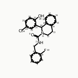 O=C(NCc1ccccc1F)N1CCc2ccccc2C1c1cc(Cl)ccc1O